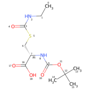 CCNC(=O)SC[C@H](NC(=O)OC(C)(C)C)C(=O)O